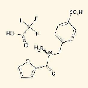 N[C@@H](Cc1ccc(S(=O)(=O)O)cc1)C(=O)c1ccco1.O=C(O)C(F)(F)F